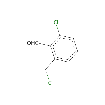 O=Cc1c(Cl)cccc1CCl